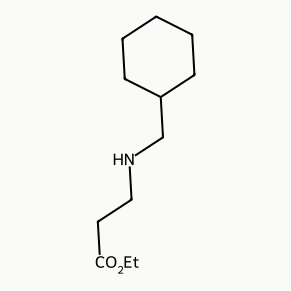 CCOC(=O)CCNCC1CCCCC1